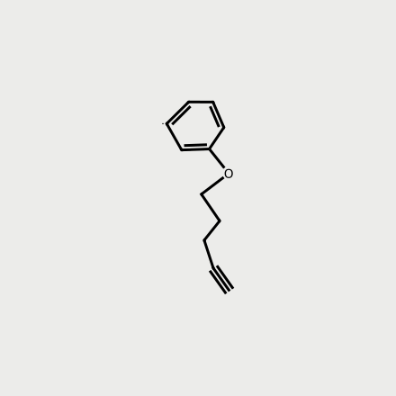 C#CCCCOc1c[c]ccc1